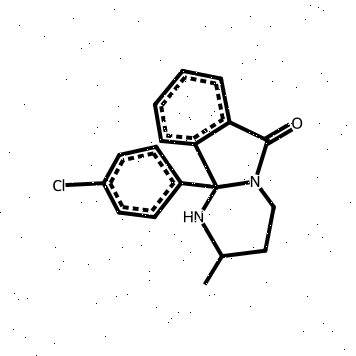 CC1CCN2C(=O)c3ccccc3C2(c2ccc(Cl)cc2)N1